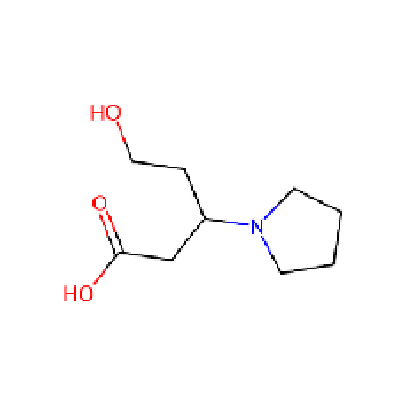 O=C(O)CC(CCO)N1CCCC1